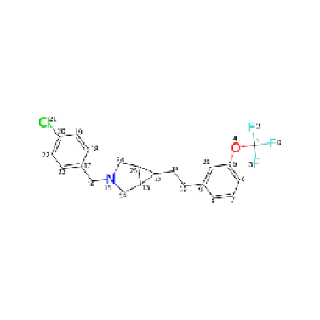 FC(F)(F)Oc1cccc([CH]CC2C3CN(Cc4ccc(Cl)cc4)CC23)c1